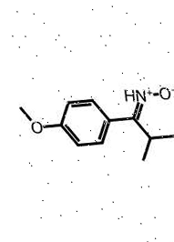 COc1ccc(C(=[NH+][O-])C(C)C)cc1